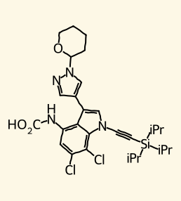 CC(C)[Si](C#Cn1cc(-c2cnn(C3CCCCO3)c2)c2c(NC(=O)O)cc(Cl)c(Cl)c21)(C(C)C)C(C)C